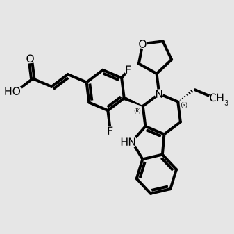 CC[C@@H]1Cc2c([nH]c3ccccc23)[C@@H](c2c(F)cc(C=CC(=O)O)cc2F)N1C1CCOC1